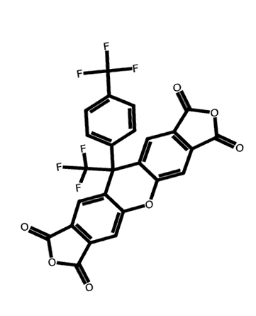 O=C1OC(=O)c2cc3c(cc21)Oc1cc2c(cc1C3(c1ccc(C(F)(F)F)cc1)C(F)(F)F)C(=O)OC2=O